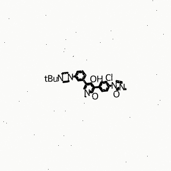 Cn1cc(-c2cccc(N3CCN(C(C)(C)C)CC3)c2)c(O)c(-c2ccc(-n3ccn(C)c3=O)c(Cl)c2)c1=O